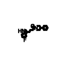 O=C(CCCc1c[nH]c2ccc(F)cc12)N1CCC(c2ccccc2)CC1